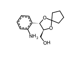 Nc1ccccc1[C@@H]1OC2(CCCC2)O[C@H]1CO